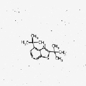 CC(C)(C)c1nc2c(C(C)(C)C)cccc2s1